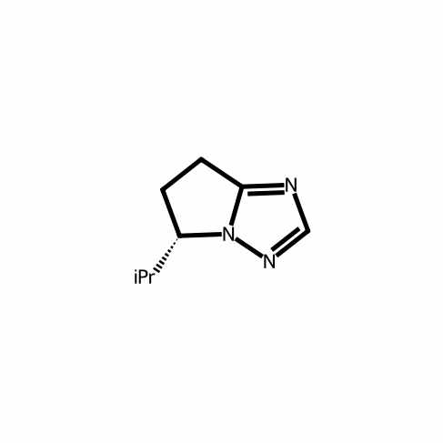 CC(C)[C@@H]1CCc2ncnn21